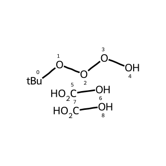 CC(C)(C)OOOO.O=C(O)O.O=C(O)O